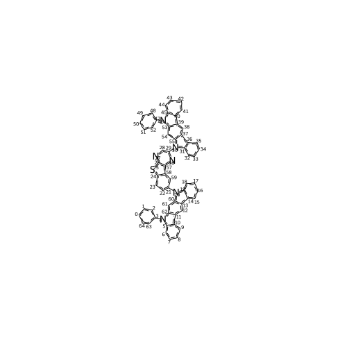 c1ccc(-n2c3ccccc3c3cc4c5ccccc5n(-c5ccc6sc7ncc(-n8c9ccccc9c9cc%10c%11ccccc%11n(-c%11ccccc%11)c%10cc98)nc7c6c5)c4cc32)cc1